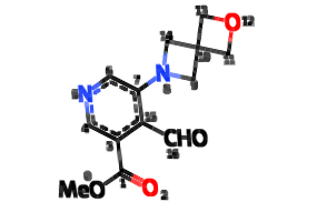 COC(=O)c1cncc(N2CC3(COC3)C2)c1C=O